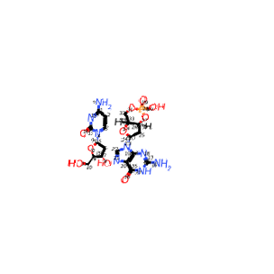 Nc1ccn([C@H]2C[C@H](O)[C@@H](CO)O2)c(=O)n1.Nc1nc2c(ncn2[C@H]2C[C@@H]3OP(=O)(O)OC[C@H]3O2)c(=O)[nH]1